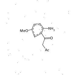 COc1ccc(N)c(C(=O)CC(C)=O)c1